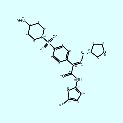 COC1CCN(S(=O)(=O)c2ccc(/C(=N\O[C@@H]3CCOC3)C(=O)Nc3ncc(F)s3)cc2)CC1